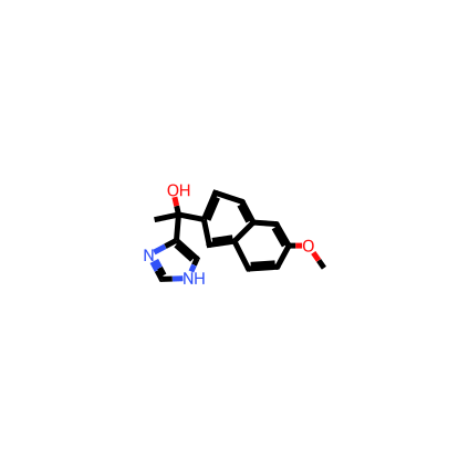 COc1ccc2cc(C(C)(O)c3c[nH]cn3)ccc2c1